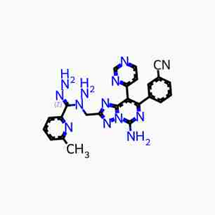 Cc1cccc(/C(=N/N)N(N)Cc2nc3c(-c4ccncn4)c(-c4cccc(C#N)c4)nc(N)n3n2)n1